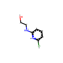 OCCNc1cccc(Cl)n1